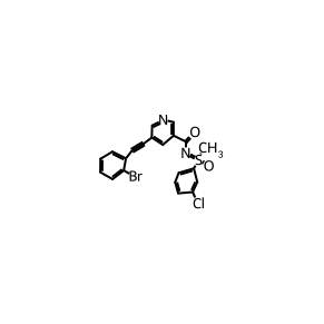 CS(=O)(=NC(=O)c1cncc(C#Cc2ccccc2Br)c1)c1cccc(Cl)c1